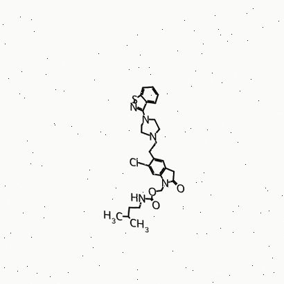 CC(C)CCNC(=O)OCN1C(=O)Cc2cc(CCN3CCN(c4nsc5ccccc45)CC3)c(Cl)cc21